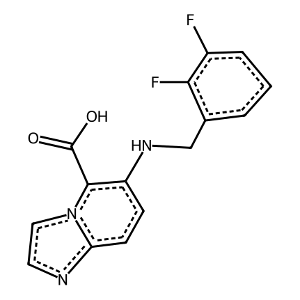 O=C(O)c1c(NCc2cccc(F)c2F)ccc2nccn12